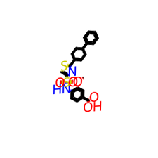 COc1cc(C(=O)O)ccc1NS(=O)(=O)c1csc(C2=CCC(c3ccccc3)CC2)n1